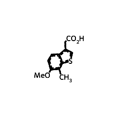 COc1ccc2c(CC(=O)O)csc2c1C